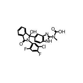 CN(C(=O)O)c1nc2cc(C3(O)c4ccccc4C(=O)N3c3cc(Cl)c(F)cc3F)ccc2[nH]1